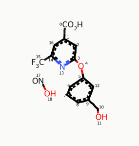 O=C(O)c1cc(Oc2cccc(CO)c2)nc(C(F)(F)F)c1.O=NO